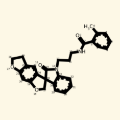 Cc1ccccc1C(=O)NCCCN1C(=O)C2(COc3cc4c(cc32)CCO4)c2ccccc21